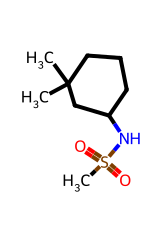 CC1(C)CCCC(NS(C)(=O)=O)C1